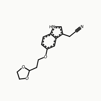 N#CCc1c[nH]c2ccc(OCCC3OCCO3)cc12